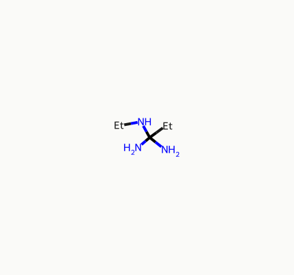 CCNC(N)(N)CC